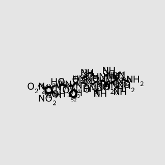 N=C(N)NC(NC(=O)C(NC(=N)N)NC(=O)C(NC(=N)N)NC(=O)C(NC(=N)N)NC(=O)C(NC(=O)C(O)NCc1cc([N+](=O)[O-])cc([N+](=O)[O-])c1O)c1ccccc1)C(=O)NC(N)C(N)=O